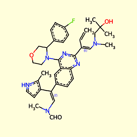 C=C/C(=C\N(C)CC(C)(C)O)c1nc(N2CCOCC2c2ccc(F)cc2)c2cc(/C(=C/N(C)C=O)c3cc[nH]c3C)ccc2n1